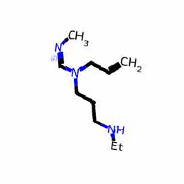 C=CCN(/C=N\C)CCCNCC